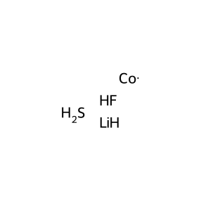 F.S.[Co].[LiH]